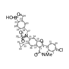 CNC(=O)c1c(-c2ccc(Cl)cc2)oc2cc(N(Cc3ccc4c(c3)COB4O)S(C)(=O)=O)c(C3CC3)cc12